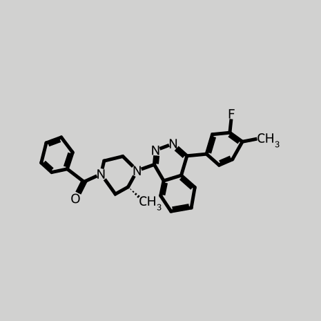 Cc1ccc(-c2nnc(N3CCN(C(=O)c4ccccc4)C[C@H]3C)c3ccccc23)cc1F